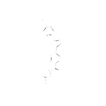 NC(=O)CNC(=O)c1ccc(-c2[nH]c(-c3ccc(F)cn3)nc2Cl)c(Cl)c1